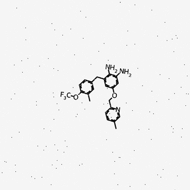 Cc1ccc(COc2cc(N)c(N)c(Cc3ccc(OC(F)(F)F)c(C)c3)c2)nc1